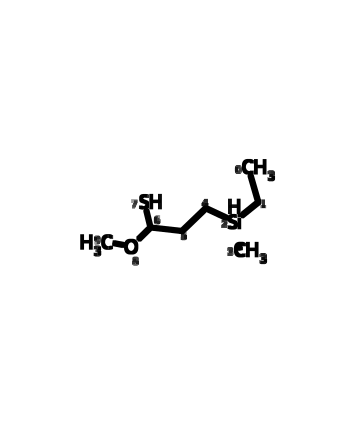 CC[SiH](C)CCC(S)OC